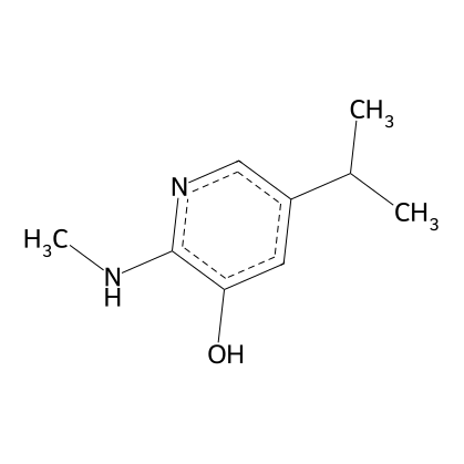 CNc1ncc(C(C)C)cc1O